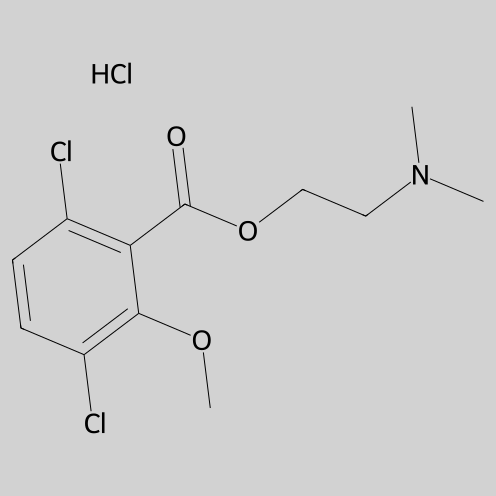 COc1c(Cl)ccc(Cl)c1C(=O)OCCN(C)C.Cl